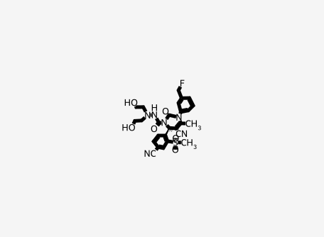 CC1=C(C#N)[C@@H](c2ccc(C#N)cc2S(C)(=O)=O)N(C(=O)NN(CCO)CCO)C(=O)N1c1cccc(CF)c1